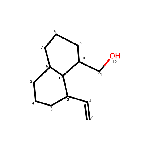 C=CC1CCCC2CCCC(CO)C12